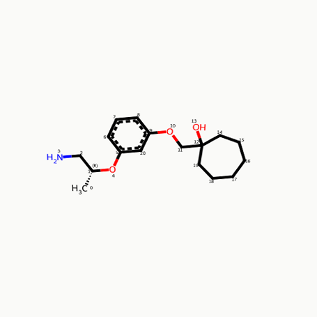 C[C@H](CN)Oc1cccc(OCC2(O)CCCCCC2)c1